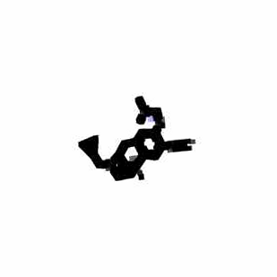 [C-]#[N+]c1cc2c(cc1/N=C\N(C)C)CC1[C@H](C)[C@]2(C)CCN1CC1CC1